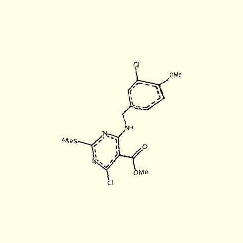 COC(=O)c1c(Cl)nc(SC)nc1NCc1ccc(OC)c(Cl)c1